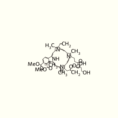 C=CC1=C(C)c2cc3[nH]c(cc4[nH]c(cc5nc(cc1n2)C(C)=C5CCC(=O)OCCO)c(CC(=C)OOCCO)c4C)[C@@]1(C)C3=CC=C(C(=O)OC)[C@H]1C(=O)OC